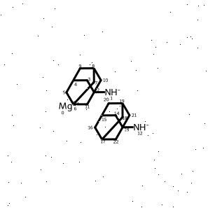 [Mg+2].[NH-]C12CC3CC(CC(C3)C1)C2.[NH-]C12CC3CC(CC(C3)C1)C2